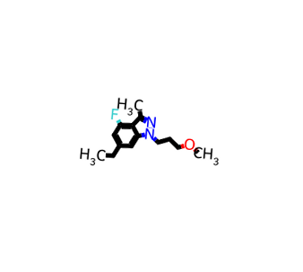 CCc1cc(F)c2c(C)nn(CCCOC)c2c1